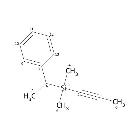 CC#C[Si](C)(C)C(C)c1ccccc1